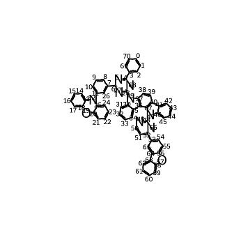 c1ccc(-c2nc(-c3cccc(N4c5ccccc5Oc5ccccc54)c3)nc(-n3c4ccccc4c4c3ccc3c5ccccc5n(-c5nccc(-c6ccc7oc8ccccc8c7c6)n5)c34)n2)cc1